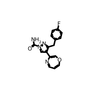 NC(=O)n1cc(C2=COC=CC=N2)c(Cc2ccc(F)cc2)n1